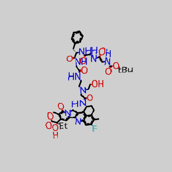 CC[C@@]1(O)C(=O)OCc2c1cc1n(c2=O)Cc2c-1nc1cc(F)c(C)c3c1c2[C@@H](NC(=O)CN(CCO)CCNC(=O)CNC(=O)[C@H](Cc1ccccc1)NC(=O)CNC(=O)CNC(=O)OC(C)(C)C)CC3